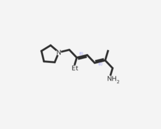 CC/C(=C\C=C(/C)CN)CN1CCCC1